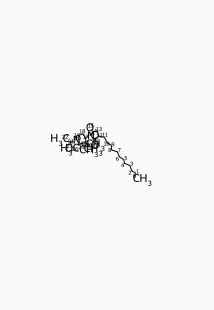 CCCCCCCCCCCCC1CC(=O)N(C2CCN(C(C)=O)C(C)(C)C2(C)C)C1=O